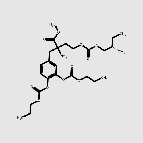 CCCOC(=O)Oc1ccc(CC(N)(CCOC(=O)OC[C@@H](C)CC)C(=O)OC)cc1OC(=O)OCCC